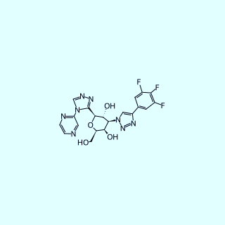 OC[C@H]1O[C@@H](c2nncn2-c2cnccn2)[C@H](O)[C@@H](n2cc(-c3cc(F)c(F)c(F)c3)nn2)[C@H]1O